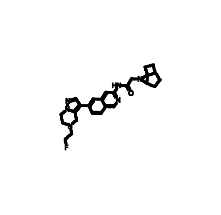 O=C(CN1C2CCC3CCC321)Nc1cc2cc(-c3cnn4c3CN(CCF)CC4)ccc2cn1